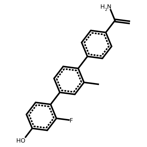 C=C(N)c1ccc(-c2ccc(-c3ccc(O)cc3F)cc2C)cc1